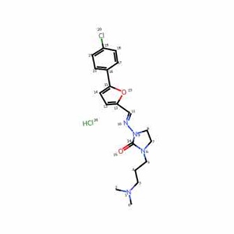 CN(C)CCCN1CCN(N=Cc2ccc(-c3ccc(Cl)cc3)o2)C1=O.Cl